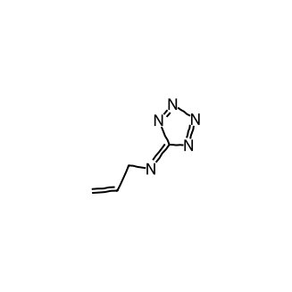 C=CCN=C1N=NN=N1